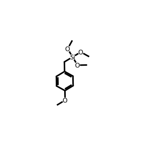 COc1ccc(C[Si](OC)(OC)OC)cc1